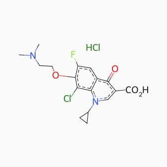 CN(C)CCOc1c(F)cc2c(=O)c(C(=O)O)cn(C3CC3)c2c1Cl.Cl